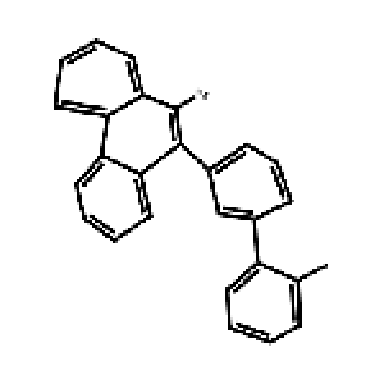 Cc1ccccc1-c1cccc(-c2c(Br)c3ccccc3c3ccccc23)c1